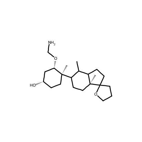 CC1C2CCC3(CCCO3)[C@@]2(C)CCC1[C@@]1(C)CC[C@H](O)C[C@@H]1OCN